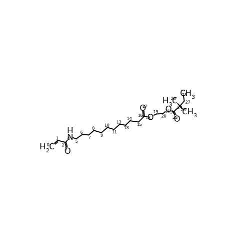 C=CC(=O)NCCCCCCCCCCCC(=O)OCCOC(=O)C(C)(C)CC